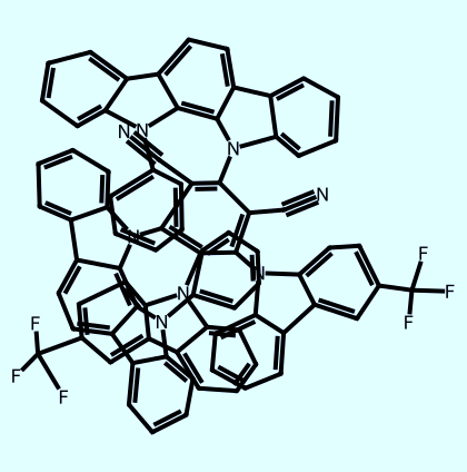 N#Cc1c(-n2c3ccccc3c3cc(C(F)(F)F)ccc32)c(-n2c3ccccc3c3cc(C(F)(F)F)ccc32)c(-n2c3ccccc3c3ccc4c5ccccc5n(-c5ccccc5)c4c32)c(C#N)c1-n1c2ccccc2c2ccc3c4ccccc4n(-c4ccccc4)c3c21